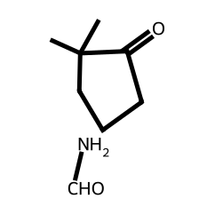 CC1(C)CCCC1=O.NC=O